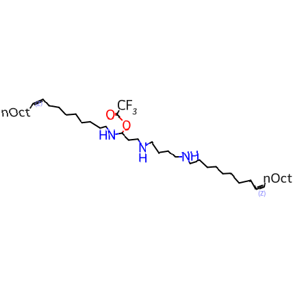 CCCCCCCC/C=C\CCCCCCCCNCCCCNCCC(NCCCCCCCC/C=C\CCCCCCCC)OC(=O)C(F)(F)F